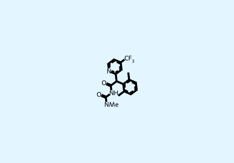 CNC(=O)NC(=O)C(c1cc(C(F)(F)F)ccn1)c1c(C)cccc1C